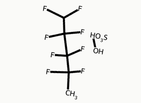 CC(F)(F)C(F)(F)C(F)(F)C(F)F.O=S(=O)(O)O